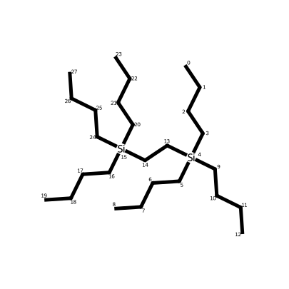 CCCC[Si](CCCC)(CCCC)CC[Si](CCCC)(CCCC)CCCC